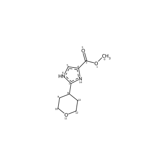 COC(=O)c1c[nH]c(C2CCOCC2)n1